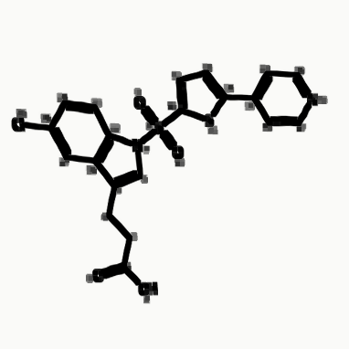 O=C(O)CCc1cn(S(=O)(=O)c2ccc(-c3ccncc3)s2)c2ccc(Cl)cc12